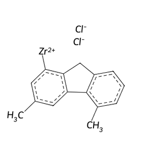 Cc1c[c]([Zr+2])c2c(c1)-c1c(C)cccc1C2.[Cl-].[Cl-]